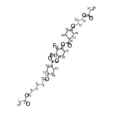 C=CC(=O)OCCCCCCOc1ccc(C(=O)Oc2ccc(OC(=O)c3ccc(OCCCOC(=O)C=C)cc3)c(F)c2F)cc1